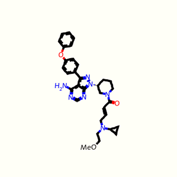 COCCN(C/C=C/C(=O)N1CCC[C@@H](n2nc(-c3ccc(Oc4ccccc4)cc3)c3c(N)ncnc32)C1)C1CC1